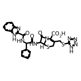 O=C(O)C1=C(CSc2nnn[nH]2)CS[C@H]2C(NC(=O)C(NC(=O)c3nc4ccccc4[nH]3)c3ccccc3)C(=O)N12